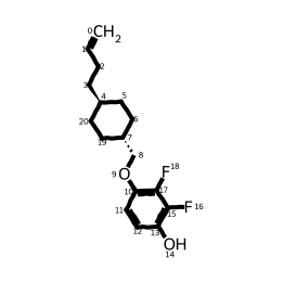 C=CCC[C@H]1CC[C@H](COc2ccc(O)c(F)c2F)CC1